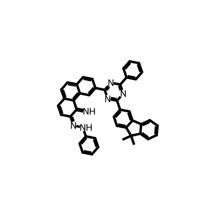 CC1(C)c2ccccc2-c2cc(-c3nc(-c4ccccc4)nc(-c4ccc5ccc6c(c5c4)C(=N)/C(=N\Nc4ccccc4)C=C6)n3)ccc21